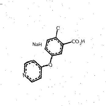 O=C(O)c1cc(Oc2ccncc2)ccc1Cl.[NaH]